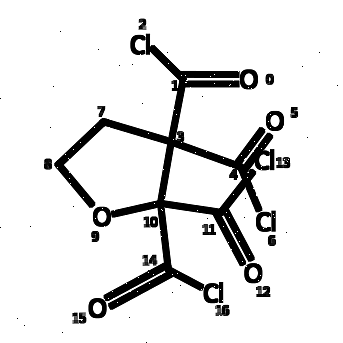 O=C(Cl)C1(C(=O)Cl)CCOC1(C(=O)Cl)C(=O)Cl